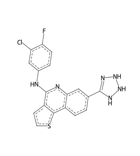 Fc1ccc(Nc2nc3cc(C4=NNNN4)ccc3c3sccc23)cc1Cl